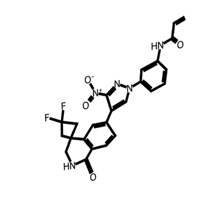 C=CC(=O)Nc1cccc(-n2cc(-c3ccc4c(c3)C3(CNC4=O)CC(F)(F)C3)c([N+](=O)[O-])n2)c1